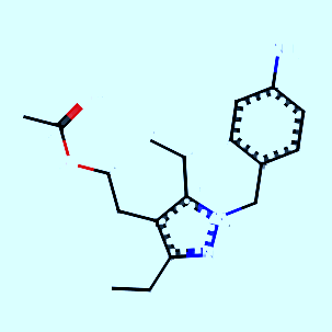 CCc1nn(Cc2ccc(N)cc2)c(CC)c1CCOC(C)=O